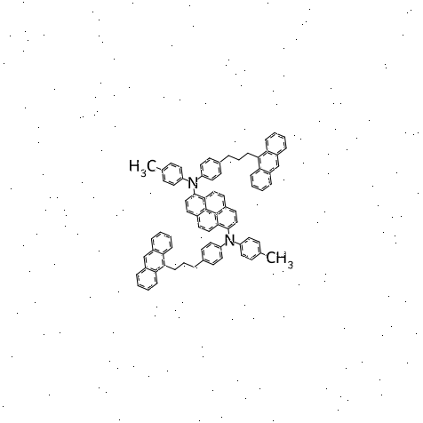 Cc1ccc(N(c2ccc(CCCc3c4ccccc4cc4ccccc34)cc2)c2ccc3ccc4c(N(c5ccc(C)cc5)c5ccc(CCCc6c7ccccc7cc7ccccc67)cc5)ccc5ccc2c3c54)cc1